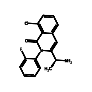 C[C@H](N)c1cc2cccc(Cl)c2c(=O)n1-c1ccccc1F